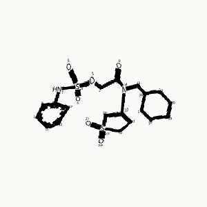 O=C(COS(=O)(=O)Nc1ccccc1)N(CC1CCCCC1)C1CCS(=O)(=O)C1